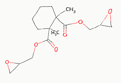 CC1(C(=O)OCC2CO2)CCCCC1(C)C(=O)OCC1CO1